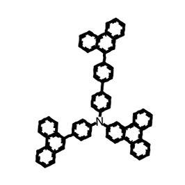 c1ccc2c(c1)cc(-c1ccc(-c3ccc(N(c4ccc(-c5cc6ccccc6c6ccccc56)cc4)c4ccc5c6ccccc6c6ccccc6c5c4)cc3)cc1)c1ccccc12